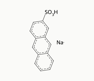 O=S(=O)(O)c1ccc2cc3ccccc3cc2c1.[Na]